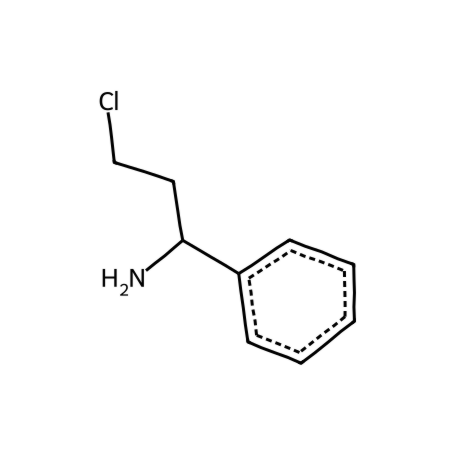 NC(CCCl)c1ccccc1